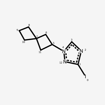 Ic1ncn(C2CC3(CCC3)C2)n1